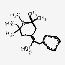 CN1C(C)(C)CC(=C(C(=O)O)c2ccccc2)CC1(C)C